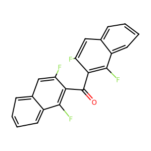 O=C(c1c(F)cc2ccccc2c1F)c1c(F)cc2ccccc2c1F